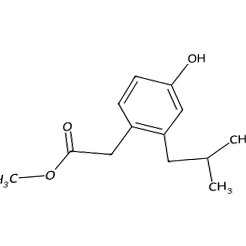 COC(=O)Cc1ccc(O)cc1CC(C)C